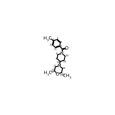 Cc1ccc(C(=O)N2CCC(N3C[C@@H](C)O[C@@H](C)C3)CC2)cc1